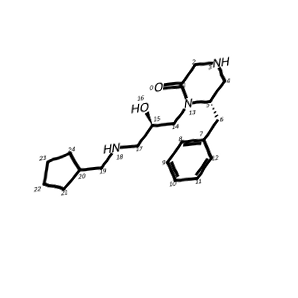 O=C1CNC[C@H](Cc2ccccc2)N1C[C@H](O)CNCC1CCCC1